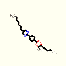 CCCC#CC(=O)C(C)OC(=O)c1ccc(-c2ncc(CCCCCCC)cn2)cc1